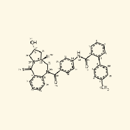 Cc1ccc(-c2ccccc2C(=O)Nc2ccc(C(=O)N3C[C@H]4C[C@@H](O)CN4C(=S)c4ccccc43)cc2)cc1